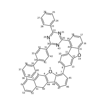 C1=CC2=Cc3oc4c(-c5ccc6c(c5)oc5cccc(-c7nc(-c8ccccc8)nc(-c8ccc(-c9ccccc9)cc8)n7)c56)cccc4c3CC2C=C1